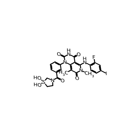 Cc1c(=O)n(C)c(Nc2ccc(I)cc2F)c2c(=O)[nH]c(=O)n(-c3cccc(C(=O)N4CCS(O)(O)C4)c3)c12